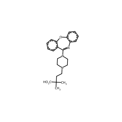 CC(C)(CCN1CCN(C2=Nc3ccccc3Oc3ccccc32)CC1)C(=O)O